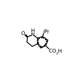 CC(C)c1cc(C(=O)O)cc2c1NC(=O)CC2